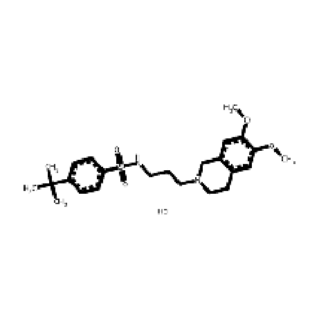 COc1cc2c(cc1OC)CN(CCCNS(=O)(=O)c1ccc(C(C)(C)C)cc1)CC2.Cl